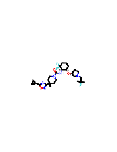 CC(C)(F)CN1CC[C@H](O[C@H]2CCCC(F)(F)[C@@H]2NC(=O)N2CCC(C)(c3noc(C4CC4)n3)CC2)C1